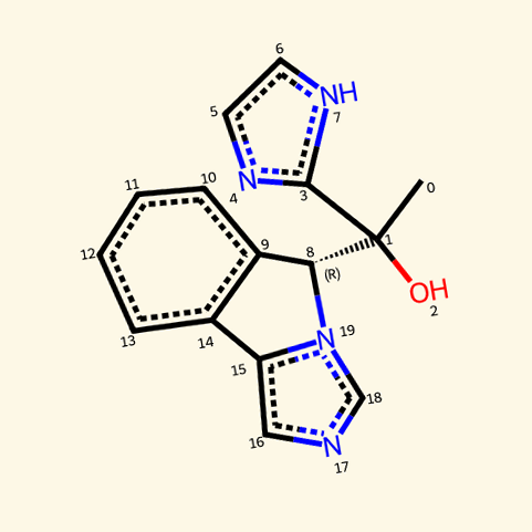 CC(O)(c1ncc[nH]1)[C@H]1c2ccccc2-c2cncn21